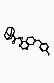 O=C(Nc1ncnc2c1CCN(Cc1ccc(F)cc1)C2)C12CC3CC(CC(C3)C1)C2